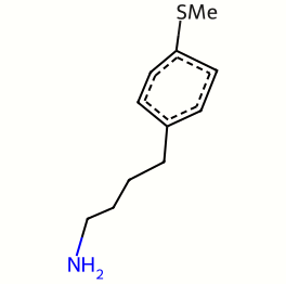 CSc1ccc(CCCCN)cc1